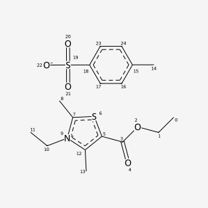 CCOC(=O)c1sc(C)[n+](CC)c1C.Cc1ccc(S(=O)(=O)[O-])cc1